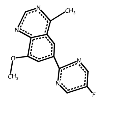 COc1cc(-c2ncc(F)cn2)cc2c(C)ncnc12